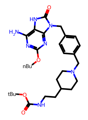 CCCCOc1nc(N)c2[nH]c(=O)n(Cc3ccc(CN4CCC(CCNC(=O)OC(C)(C)C)CC4)cc3)c2n1